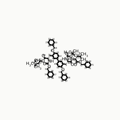 CC(C)C[C@H](NC(=O)[C@H](Cc1cc(-c2ccc(OCc3ccccc3)c(C[C@H](NC(=O)OCc3ccccc3)C(=O)OCC[Si](C)(C)C)c2)ccc1OCc1ccccc1)NC(=O)OC(C)(C)C)C(=O)OCc1ccccc1